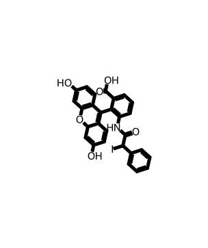 O=C(O)c1cccc(NC(=O)C(I)c2ccccc2)c1C1=C2C=CC(O)=CC2Oc2cc(O)ccc21